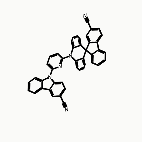 N#Cc1ccc2c(c1)C1(c3ccccc3-2)c2ccccc2N(c2cccc(-n3c4ccccc4c4cc(C#N)ccc43)n2)c2ccccc21